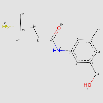 Cc1cc(CO)cc(NC(=O)CCC(C)(C)S)c1